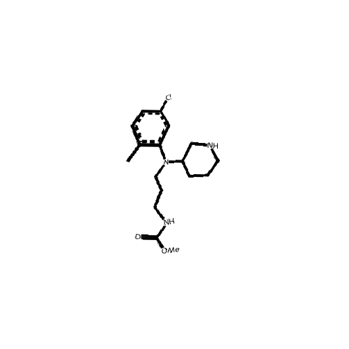 COC(=O)NCCCN(c1cc(Cl)ccc1C)C1CCCNC1